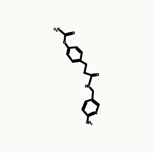 NC(=O)Oc1ccc(C[CH]C(=O)NCc2ccc(N)nc2)cc1